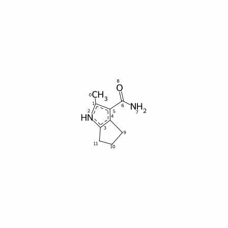 Cc1[nH]c2c(c1C(N)=O)CCC2